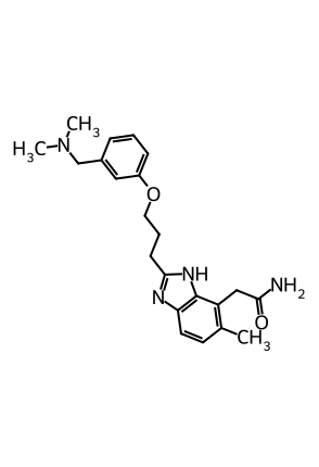 Cc1ccc2nc(CCCOc3cccc(CN(C)C)c3)[nH]c2c1CC(N)=O